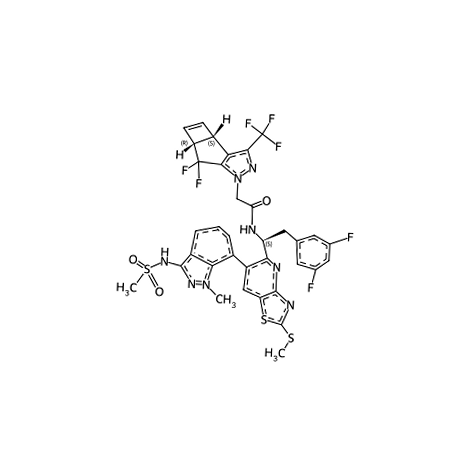 CSc1nc2nc([C@H](Cc3cc(F)cc(F)c3)NC(=O)Cn3nc(C(F)(F)F)c4c3C(F)(F)[C@@H]3C=C[C@H]43)c(-c3cccc4c(NS(C)(=O)=O)nn(C)c34)cc2s1